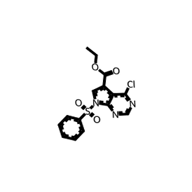 CCOC(=O)c1cn(S(=O)(=O)c2ccccc2)c2ncnc(Cl)c12